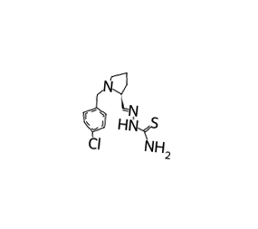 NC(=S)NN=C[C@@H]1CCCN1Cc1ccc(Cl)cc1